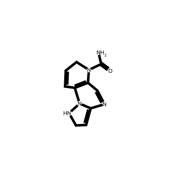 NC(=O)N1CC=CC2=C1C=NC1=CCNN12